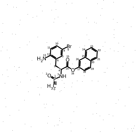 C[PH](=O)N[C@@H](Cc1cc(Br)ccc1N)C(=O)Oc1ccc2ccccc2c1